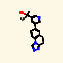 CC(O)(c1cncc(-c2ccc3c(c2)CCc2nncn2-3)c1)C(F)(F)F